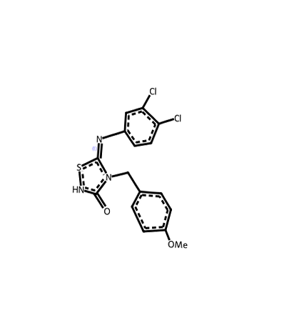 COc1ccc(Cn2c(=O)[nH]s/c2=N/c2ccc(Cl)c(Cl)c2)cc1